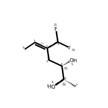 C/C=C(\C[C@H](O)[C@H](C)O)C(F)F